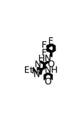 CCn1ncc2c(NC3CCOCC3)c(C(=O)NCc3ccc(F)c(F)c3F)cnc21